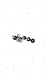 O=C(NCC(=O)N1CCC(N2CCC(c3ccccc3)CC2)C1)c1cnccc1C(F)(F)F